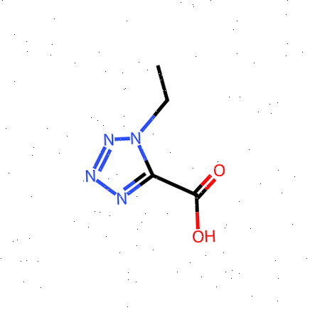 CCn1nnnc1C(=O)O